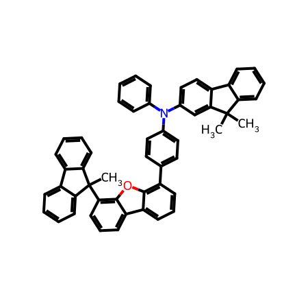 CC1(C)c2ccccc2-c2ccc(N(c3ccccc3)c3ccc(-c4cccc5c4oc4c(C6(C)c7ccccc7-c7ccccc76)cccc45)cc3)cc21